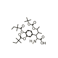 CCC(C)(C)C(=O)Oc1ccc(C(C(C)C(C)OC(=O)OC(C)(C)C)[C@H](N)C(=O)O)cc1OC(=O)C(C)(C)CC